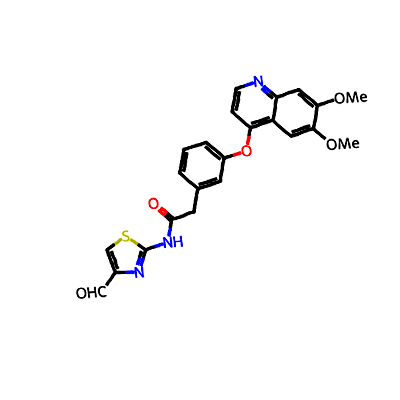 COc1cc2nccc(Oc3cccc(CC(=O)Nc4nc(C=O)cs4)c3)c2cc1OC